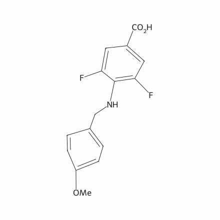 COc1ccc(CNc2c(F)cc(C(=O)O)cc2F)cc1